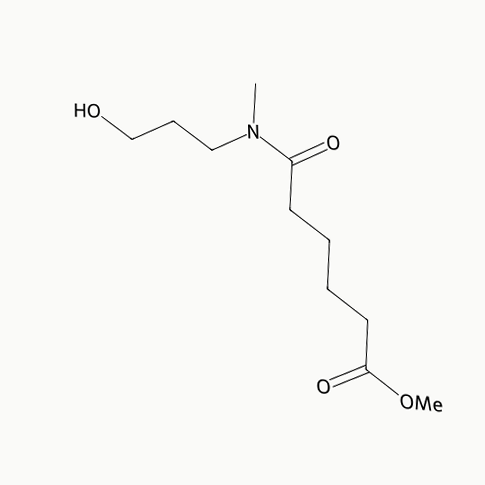 COC(=O)CCCCC(=O)N(C)CCCO